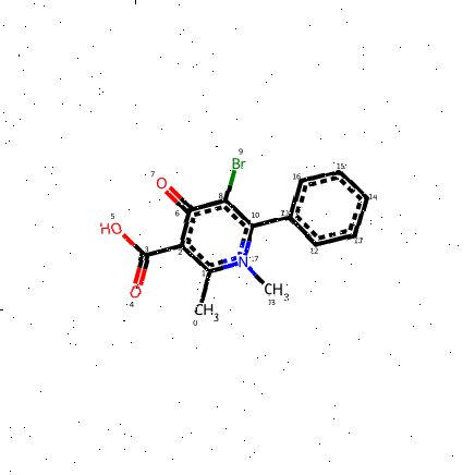 Cc1c(C(=O)O)c(=O)c(Br)c(-c2ccccc2)n1C